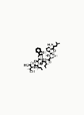 CC[C@H](C)[C@H](NC(=O)[C@H](CO)NC(=O)[C@@H]1CCCN1C(=O)[C@@H](N)CC(C)C)C(=O)N[C@@H](Cc1c[nH]c2ccccc12)C(=O)N[C@H](C(=O)N[C@H](C(=O)O)[C@@H](C)O)[C@@H](C)CC